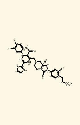 COC(=O)C1=C(CN2CCN3C(=O)N(c4ccc(CCC(=O)O)c(F)c4)C[C@@H]3C2)NC(c2nccs2)=N[C@H]1c1ccc(F)c(F)c1